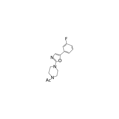 CC(=O)N1CCN(c2ncc(-c3cccc(F)c3)o2)CC1